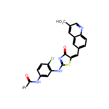 CC(C)C(=O)Nc1ccc(Cl)c(NC2=NC(=O)C(=Cc3ccc4ncc(C(=O)O)cc4c3)S2)c1